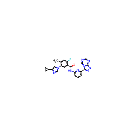 Cc1cc(F)c(C(=O)Nc2cccc(-c3nnc4ncncn34)n2)cc1-n1cnc(C2CC2)c1